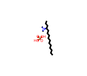 CCCCCCCCCCCC(CCC)N(C)C.O=S(=O)(O)O